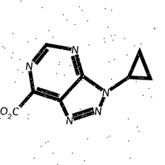 O=C(O)c1ncnc2c1nnn2C1CC1